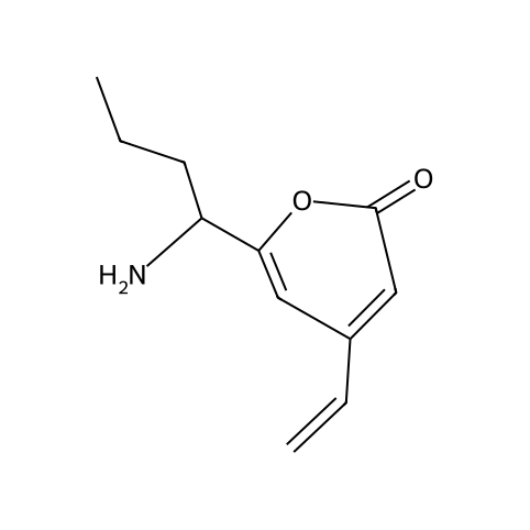 C=Cc1cc(C(N)CCC)oc(=O)c1